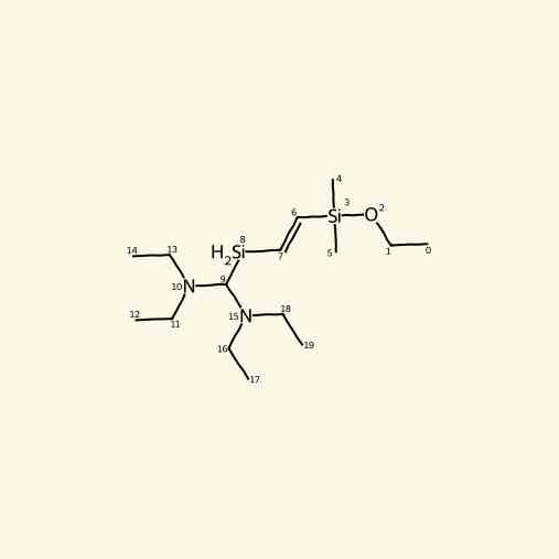 CCO[Si](C)(C)C=C[SiH2]C(N(CC)CC)N(CC)CC